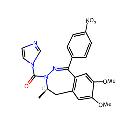 COc1cc2c(cc1OC)C(c1ccc([N+](=O)[O-])cc1)=NN(C(=O)n1ccnc1)[C@H](C)C2